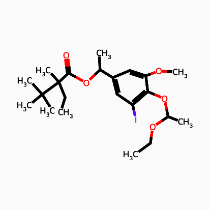 CCOC(C)Oc1c(I)cc(C(C)OC(=O)C(C)(CC)C(C)(C)C)cc1OC